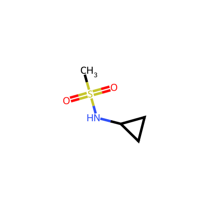 CS(=O)(=O)NC1CC1